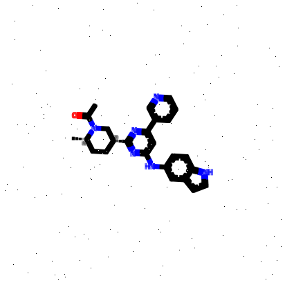 CC(=O)N1C[C@H](c2nc(Nc3ccc4[nH]ccc4c3)cc(-c3cccnc3)n2)CC[C@@H]1C